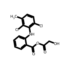 Cc1ccc(Cl)c(Nc2ccccc2C(=O)OC(=O)CO)c1Cl